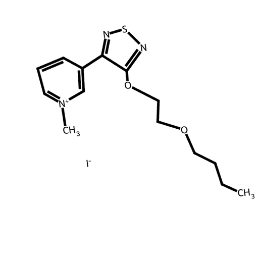 CCCCOCCOc1nsnc1-c1ccc[n+](C)c1.[I-]